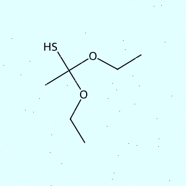 CCOC(C)(S)OCC